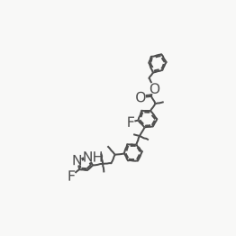 CC(CC(C)(C)c1cc(F)n[nH]1)c1cccc(C(C)(C)c2ccc(C(C)C(=O)OCc3ccccc3)cc2F)c1